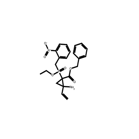 C=CC1(N)CC1(C(=O)OCc1ccccc1)P(=O)(Cc1ccccc1[N+](=O)[O-])OCC